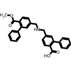 COC(=O)c1ccc(CNCc2ccc(C(=O)O)c(-c3ccccc3)c2)cc1-c1ccccc1